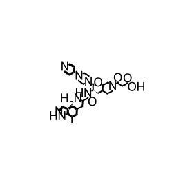 Cc1cc(C[C@@H](N)C(=O)N[C@@H](CC2CCN(C(=O)CC(=O)O)CC2)C(=O)N2CCN(c3ccncc3)CC2)cc2cn[nH]c12